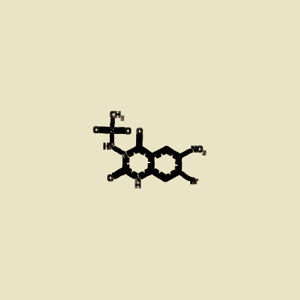 CS(=O)(=O)Nn1c(=O)[nH]c2cc(Br)c([N+](=O)[O-])cc2c1=O